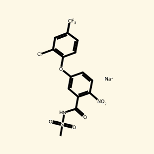 CS(=O)(=O)NC(=O)c1cc(Oc2ccc(C(F)(F)F)cc2Cl)ccc1[N+](=O)[O-].[Na+]